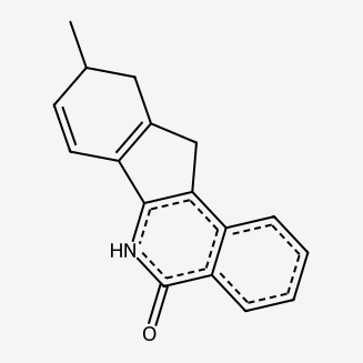 CC1C=CC2=C(Cc3c2[nH]c(=O)c2ccccc32)C1